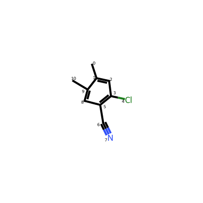 Cc1cc(Cl)c(C#N)cc1C